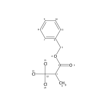 CC(C(=O)OCc1ccccc1)C(Cl)(Cl)Cl